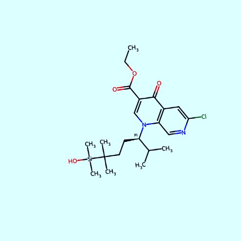 CCOC(=O)c1cn([C@H](CCC(C)(C)[Si](C)(C)O)C(C)C)c2cnc(Cl)cc2c1=O